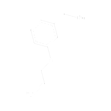 C=CCOc1cccc(CC(C)(C)C)c1